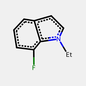 CCn1ccc2cccc(F)c21